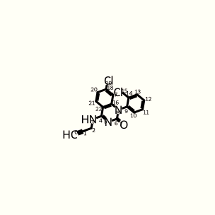 C#CCNc1nc(=O)n(-c2ccccc2Cl)c2cc(Cl)ccc12